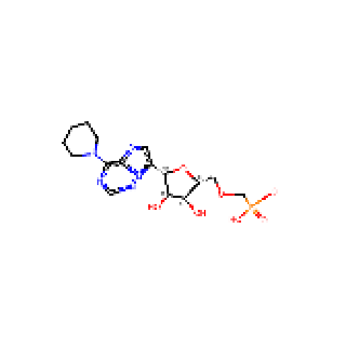 O=P(O)(O)COC[C@H]1O[C@@H](c2cnc3c(N4CCCCC4)ncnn23)[C@H](O)[C@@H]1O